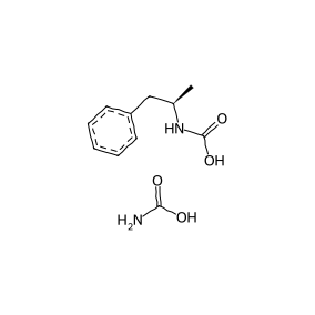 C[C@H](Cc1ccccc1)NC(=O)O.NC(=O)O